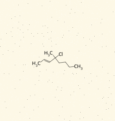 CC=CC(C)(Cl)CCCC